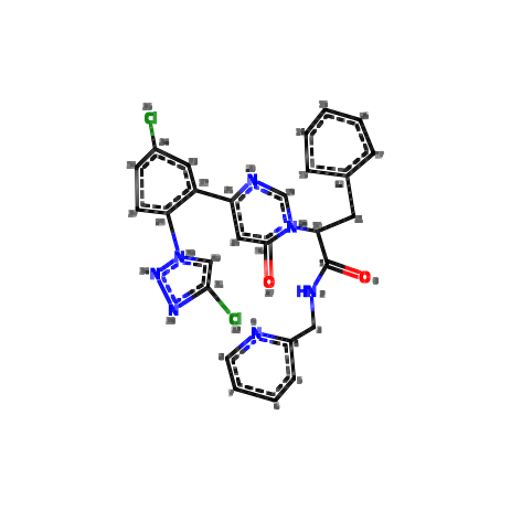 O=C(NCc1ccccn1)C(Cc1ccccc1)n1cnc(-c2cc(Cl)ccc2-n2cc(Cl)nn2)cc1=O